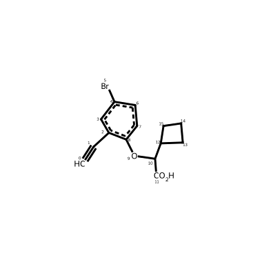 C#Cc1cc(Br)ccc1OC(C(=O)O)C1CCC1